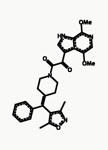 COc1ncc(OC)c2c(C(=O)C(=O)N3CCC(=C(c4ccccc4)c4c(C)noc4C)CC3)c[nH]c12